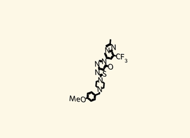 COc1ccc(CN2CCN(c3nc4ncn(-c5cc(C(F)(F)F)c6nc(C)cn6c5)c(=O)c4s3)CC2)cc1